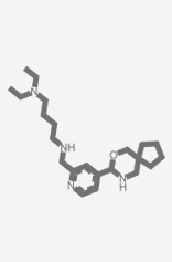 CCN(CC)CCCCNCc1cc(C2NCC3(CCCC3)CO2)ccn1